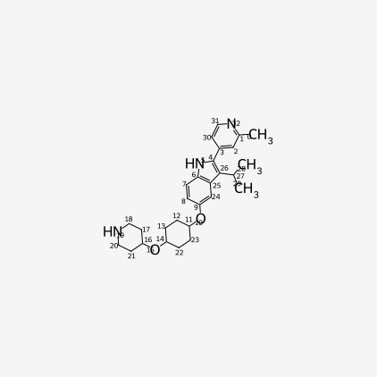 Cc1cc(-c2[nH]c3ccc(OC4CCC(OC5CCNCC5)CC4)cc3c2C(C)C)ccn1